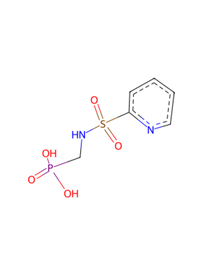 O=P(O)(O)CNS(=O)(=O)c1ccccn1